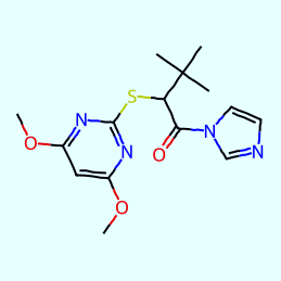 COc1cc(OC)nc(SC(C(=O)n2ccnc2)C(C)(C)C)n1